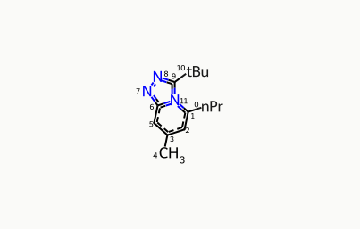 CCCc1cc(C)cc2nnc(C(C)(C)C)n12